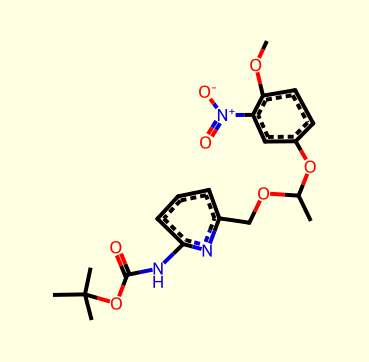 COc1ccc(OC(C)OCc2cccc(NC(=O)OC(C)(C)C)n2)cc1[N+](=O)[O-]